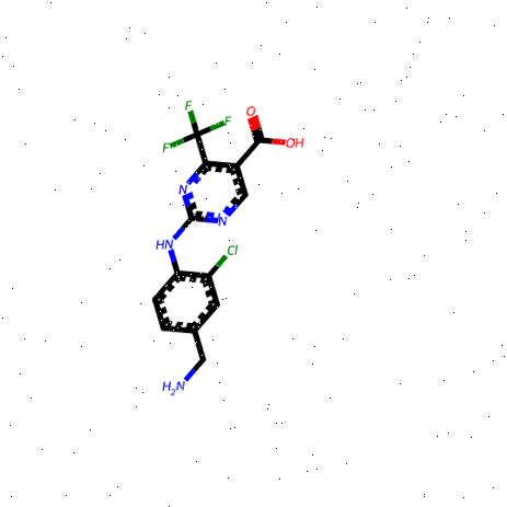 NCc1ccc(Nc2ncc(C(=O)O)c(C(F)(F)F)n2)c(Cl)c1